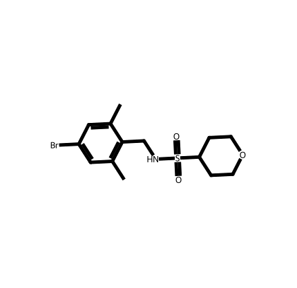 Cc1cc(Br)cc(C)c1CNS(=O)(=O)C1CCOCC1